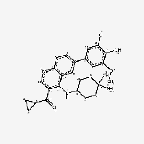 COc1cc(-c2ccc3ncc(C(=O)C4CC4)c(NC4CCC(C)(N)CC4)c3c2)cc(Cl)c1O